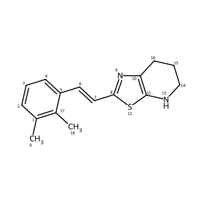 Cc1cccc(/C=C/c2nc3c(s2)NCCC3)c1C